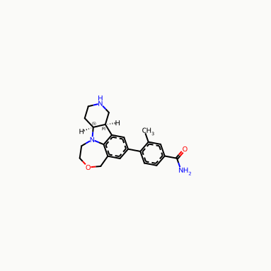 Cc1cc(C(N)=O)ccc1-c1cc2c3c(c1)[C@@H]1CNCC[C@@H]1N3CCOC2